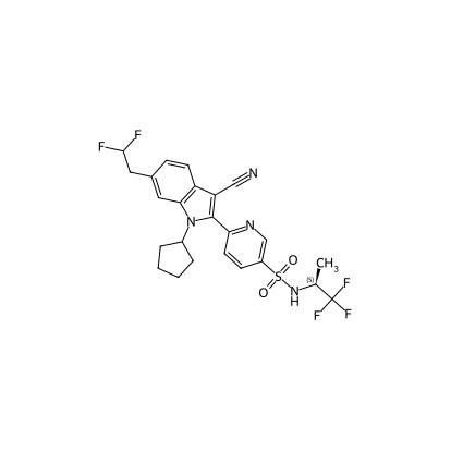 C[C@H](NS(=O)(=O)c1ccc(-c2c(C#N)c3ccc(CC(F)F)cc3n2C2CCCC2)nc1)C(F)(F)F